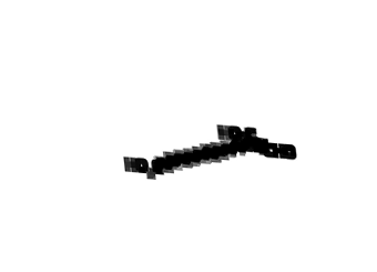 O=CCC[C@H](NC(=O)CCCCCCCCCCCCCCCCCCC(=O)O)C(=O)O